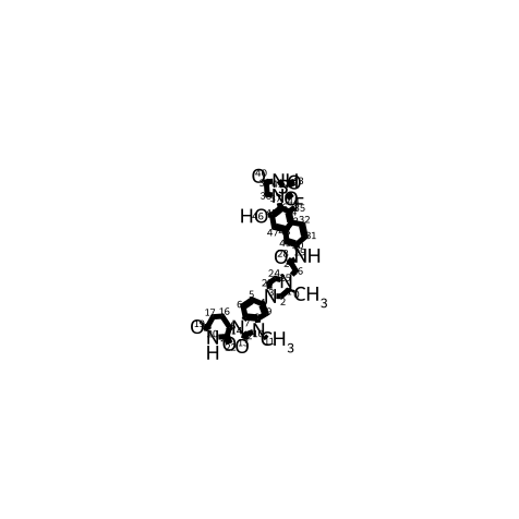 C[C@H]1CN(c2ccc3c(c2)n(C)c(=O)n3C2CCC(=O)NC2=O)CCN1CC(=O)Nc1ccc2c(F)c(N3CC(=O)NS3(=O)=O)c(O)cc2c1